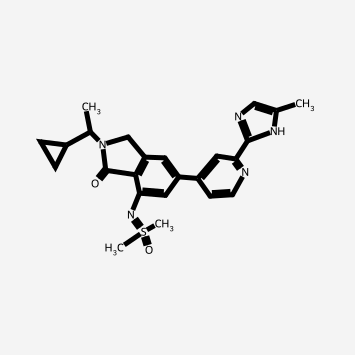 Cc1cnc(-c2cc(-c3cc4c(c(N=S(C)(C)=O)c3)C(=O)N(C(C)C3CC3)C4)ccn2)[nH]1